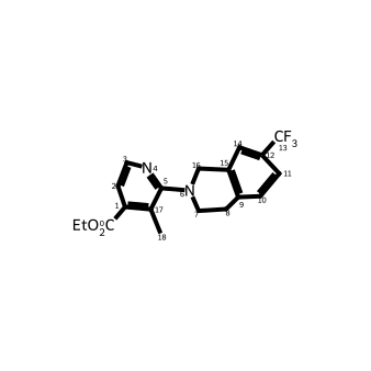 CCOC(=O)c1ccnc(N2CCc3ccc(C(F)(F)F)cc3C2)c1C